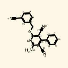 N#Cc1cccc(CSc2nc(N)c(C#N)c(-c3ccccc3)c2C#N)c1